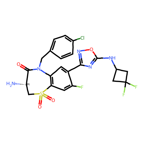 N[C@H]1CS(=O)(=O)c2cc(F)c(-c3noc(NC4CC(F)(F)C4)n3)cc2N(Cc2ccc(Cl)cc2)C1=O